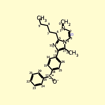 C=N/C=C\n1c(CCCCC)nc(-c2ccc([S+]([O-])c3ccccc3)cc2)c1C